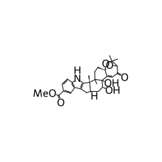 COC(=O)c1ccc2[nH]c3c(c2c1)C[C@@H]1C[C@H](O)[C@@]2(O)C4=CC(=O)C5O[C@@]4(CCC2(C)[C@@]31C)OC5(C)C